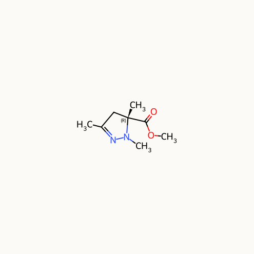 COC(=O)[C@@]1(C)CC(C)=NN1C